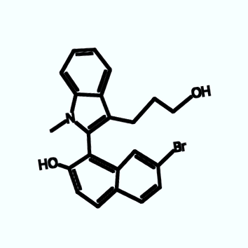 Cn1c(-c2c(O)ccc3ccc(Br)cc23)c(CCCO)c2ccccc21